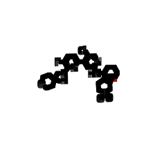 CC1(CNc2nc(-c3cc(NC45CCC(CC4)NC4CS(=O)(=O)CCC45)ncc3Cl)ccc2F)CCOCC1